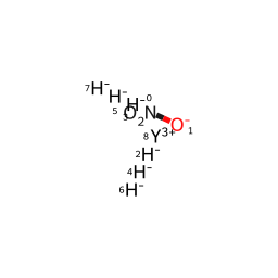 O=[N+]([O-])[O-].[H-].[H-].[H-].[H-].[H-].[H-].[Y+3]